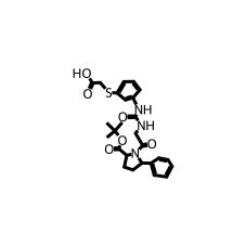 CC(C)(C)OC(=O)C1CCC(c2ccccc2)N1C(=O)CNC(=O)Nc1cccc(SCC(=O)O)c1